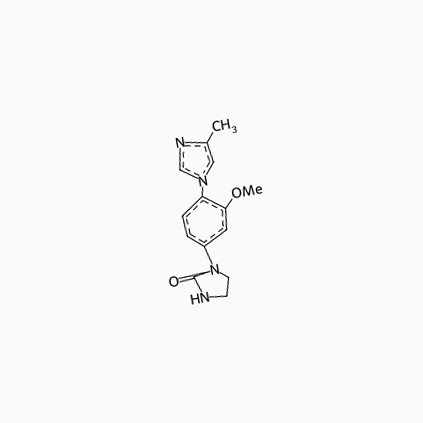 COc1cc(N2CCNC2=O)ccc1-n1cnc(C)c1